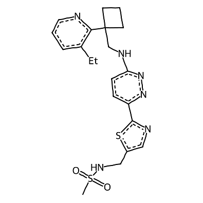 CCc1cccnc1C1(CNc2ccc(-c3ncc(CNS(C)(=O)=O)s3)nn2)CCC1